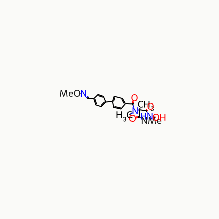 CNC(=O)[C@@](C)(C(=O)NO)N(C)C(=O)c1ccc(-c2ccc(C=NOC)cc2)cc1